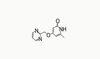 Cc1cc(OCc2ncccn2)cc(=O)[nH]1